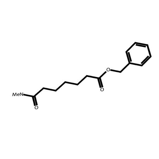 CNC(=O)CCCCCC(=O)OCc1ccccc1